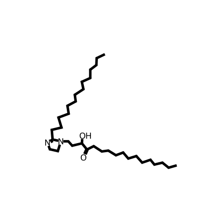 CCCCCCCCCCCCCCC1=NCCN1CCC(O)C(=O)CCCCCCCCCCCCC